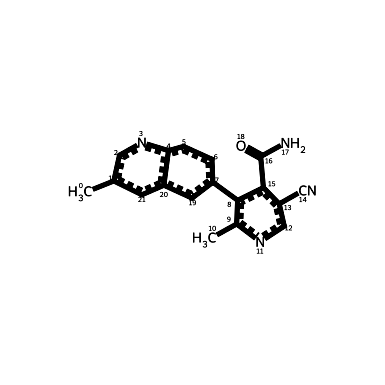 Cc1cnc2ccc(-c3c(C)ncc(C#N)c3C(N)=O)cc2c1